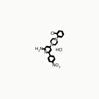 Cl.Nc1cc(N2CCN(c3ccccc3Cl)CC2)cc(-c2ccc([N+](=O)[O-])cc2)n1